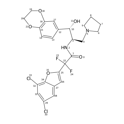 O=C(N[C@H](CN1CCCC1)[C@@H](O)c1ccc2c(c1)OCCO2)C(F)(F)c1cc2cc(Cl)cc(Cl)c2o1